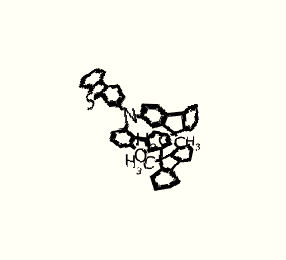 CC1(C)c2ccccc2-c2ccc(N(c3ccc4c(c3)sc3ccccc34)c3cccc4oc5c(C6(C)c7ccccc7-c7ccccc76)cccc5c34)cc21